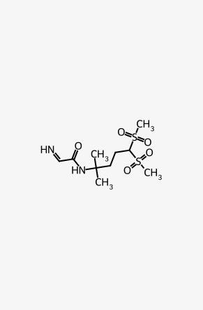 CC(C)(CCC(S(C)(=O)=O)S(C)(=O)=O)NC(=O)C=N